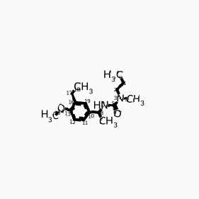 CCCN(C)C(=O)NC(C)c1ccc(OC)c(CC)c1